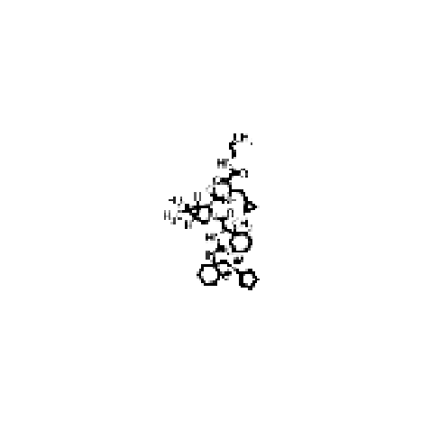 C=CCNC(=O)C(=O)C(CC1CC1)NC(=O)[C@@H]1[C@@H]2[C@H](CN1C(=O)[C@@H](NC(=O)NC1(CS(=O)(=O)C3CCCC3)CCCCC1)C1(C)CCCCC1)C2(C)C